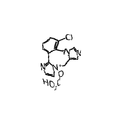 O=C(O)O[N+]12C=CN=C1c1cccc(Cl)c1-n1cncc1C2